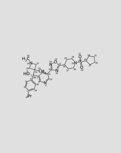 CC(C)c1ccc([C@](O)(c2cncc(-c3noc(C4CCN(S(=O)(=O)C5CCCC5)CC4)n3)c2)C2(C)CN(C)C2)cc1